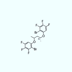 CC(C[C@@H](C)Oc1cc(F)c(F)c(F)c1Br)Oc1cc(F)c(F)c(F)c1Br